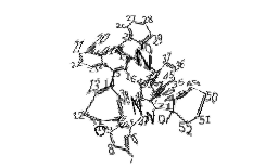 CC1(c2nc(-c3cccc4oc5ccc(-c6cc7c(c8ccccc68)c6ccccc6n7-c6ccccc6)cc5c34)nc3ccccc23)C=CC=CC1